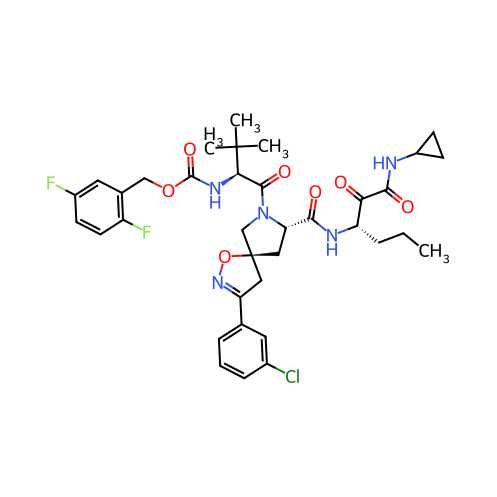 CCC[C@H](NC(=O)[C@@H]1C[C@]2(CC(c3cccc(Cl)c3)=NO2)CN1C(=O)[C@@H](NC(=O)OCc1cc(F)ccc1F)C(C)(C)C)C(=O)C(=O)NC1CC1